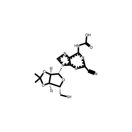 CC1(C)O[C@@H]2[C@H](O1)[C@@H](CS)O[C@H]2n1cnc2c(NC(=O)O)nc(C#N)nc21